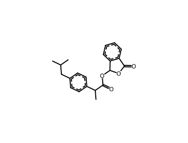 CC(C)Cc1ccc(C(C)C(=O)OC2OC(=O)c3ccccc32)cc1